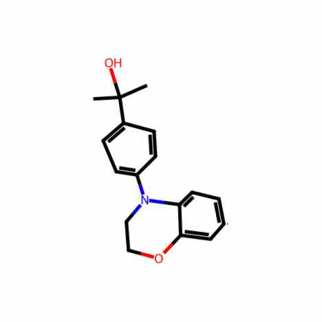 CC(C)(O)c1ccc(N2CCOc3c[c]ccc32)cc1